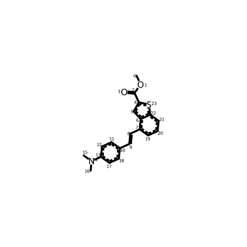 COC(=O)c1cc2c(/C=C/c3ccc(N(C)C)cc3)cccc2s1